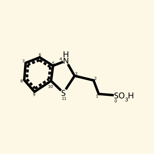 O=S(=O)(O)CCC1Nc2ccccc2S1